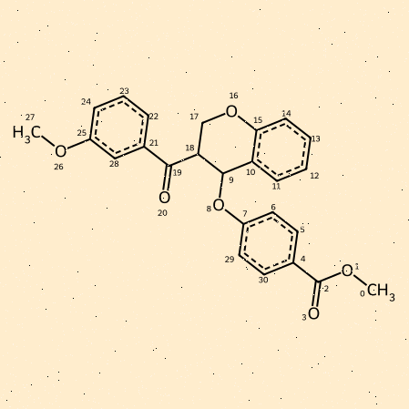 COC(=O)c1ccc(OC2c3ccccc3OCC2C(=O)c2cccc(OC)c2)cc1